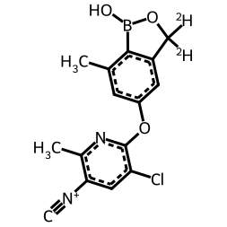 [2H]C1([2H])OB(O)c2c(C)cc(Oc3nc(C)c([N+]#[C-])cc3Cl)cc21